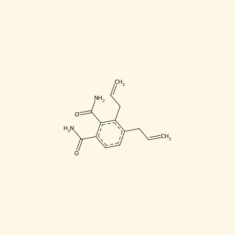 C=CCc1ccc(C(N)=O)c(C(N)=O)c1CC=C